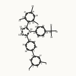 Cc1cc(C)cc(-c2ccc(-c3nnc(-c4c(C)cc(C)cc4C)n3-c3ccc(C(C)(C)C)cc3)cc2)c1